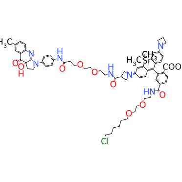 Cc1ccc2c(c1)C(=O)C1(O)CCN(c3ccc(NC(=O)CCOCCOCCNC(=O)C4C[N+](=C5C=CC6=C(c7cc(C(=O)NCCOCCOCCCCCCCl)ccc7C(=O)[O-])c7ccc(N8CCC8)cc7[Si](C)(C)C6=C5)C4)cc3)C1=N2